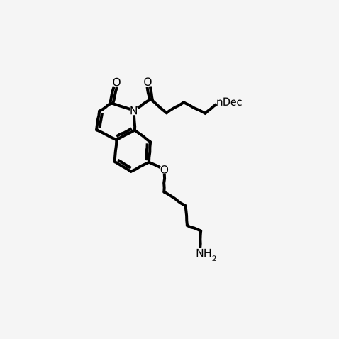 CCCCCCCCCCCCCC(=O)n1c(=O)ccc2ccc(OCCCCN)cc21